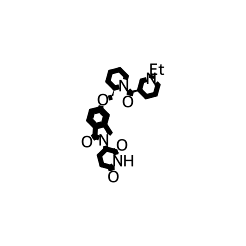 CCN1CCC[C@@H](C(=O)N2CCCC[C@H]2COc2ccc3c(c2)CN(C2CCC(=O)NC2=O)C3=O)C1